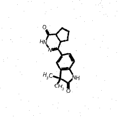 CC1(C)C(=O)Nc2ccc(C3=NNC(=O)C4CCCC34)cc21